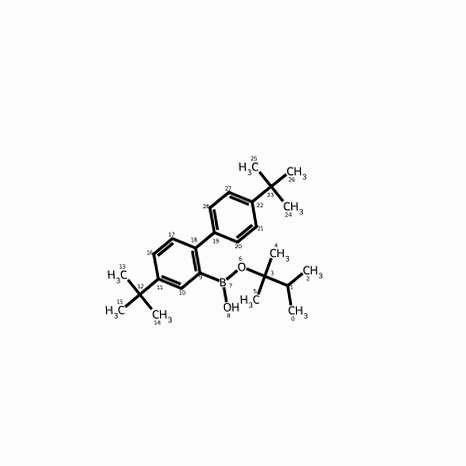 CC(C)C(C)(C)OB(O)c1cc(C(C)(C)C)ccc1-c1ccc(C(C)(C)C)cc1